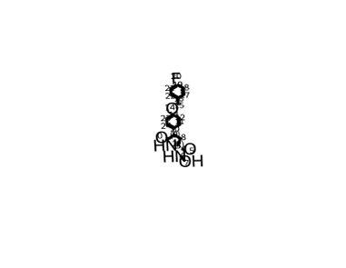 O=C1N[C@@H](C(=O)NO)C[C@H]1c1ccc(OCc2ccc(F)cc2)cc1